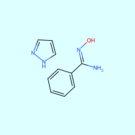 N/C(=N\O)c1ccccc1.c1cn[nH]c1